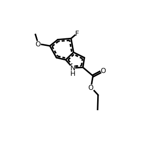 CCOC(=O)c1cc2c(F)cc(OC)cc2[nH]1